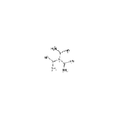 CCCC(N)[As](C(N)CCC)C(N)CCC